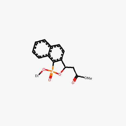 CCOP1(=O)OC(CC(=O)OC)c2ccc3ccccc3c21